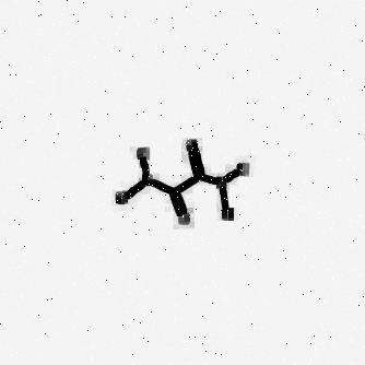 O=C(C(=O)N(Cl)Cl)N(Cl)Cl